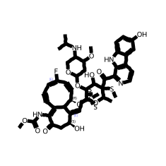 COC(=O)NC1=C2C#C/C=C(/F)C#C[C@H](OC3OC(C)C(SC)(C(=O)c4nccc5c4[nH]c4ccc(O)cc45)C(O)C3OC3CC(OC)C(NC(C)C)CO3)C2/C(=C\CS(C)(=S)=S)[C@@H](O)CC1=O